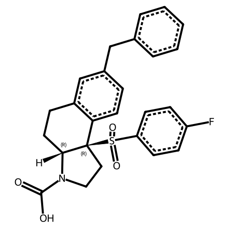 O=C(O)N1CC[C@@]2(S(=O)(=O)c3ccc(F)cc3)c3ccc(Cc4ccccc4)cc3CC[C@@H]12